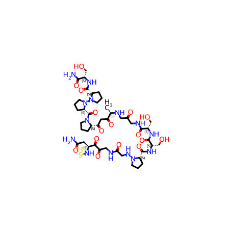 C[C@H](NCC(=O)CNC(=O)[C@H](CO)NC(=O)[C@H](CO)NC(=O)[C@@H]1CCCN1NCC(=O)NCC(=O)C(=O)[C@H](CC(N)=O)NS)C(=O)CC(=O)[C@@H]1CCCN1C(=O)[C@@H]1CCCN1N1CCC[C@H]1C(=O)N[C@@H](CO)C(N)=O